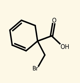 O=C(O)C1(CBr)C=CC=CC1